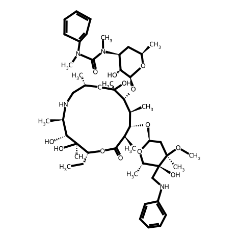 CC[C@H]1OC(=O)[C@H](C)[C@@H](O[C@H]2C[C@@](C)(OC)[C@](O)(CNc3ccccc3)[C@H](C)O2)[C@H](C)[C@@H](O[C@@H]2O[C@H](C)C[C@H](N(C)C(=O)N(C)c3ccccc3)[C@H]2O)[C@](C)(O)C[C@@H](C)CN[C@H](C)[C@@H](O)[C@]1(C)O